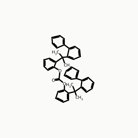 CC(C)(c1ccccc1OC(=O)Oc1ccccc1C(C)(C)c1ccccc1-c1ccccc1)c1ccccc1-c1ccccc1